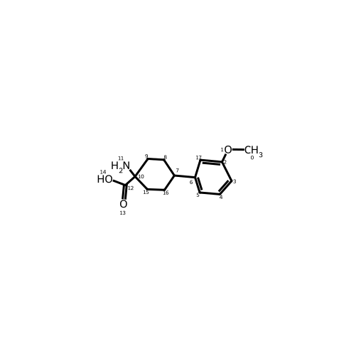 COc1cccc(C2CCC(N)(C(=O)O)CC2)c1